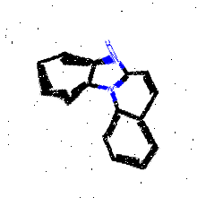 c1ccc2c(c1)ccc1[nH]c3ccccc3[n+]12